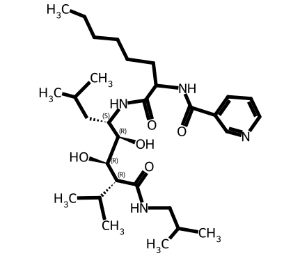 CCCCCCC(NC(=O)c1cccnc1)C(=O)N[C@@H](CC(C)C)[C@@H](O)[C@H](O)[C@H](C(=O)NCC(C)C)C(C)C